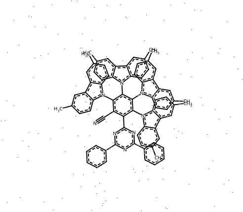 Cc1ccc2c(c1)c1cc(C)ccc1n2-c1c(C#N)c(-c2nc(-c3ccccc3)nc(-c3ccccc3)n2)c(-n2c3ccc(C)cc3c3cc(C)ccc32)c(-n2c3ccc(C)cc3c3cc(C)ccc32)c1-n1c2ccc(C)cc2c2cc(C)ccc21